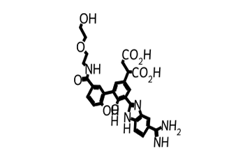 N=C(N)c1ccc2[nH]c(-c3cc(C(CC(=O)O)C(=O)O)cc(-c4cc(C(=O)NCCOCCO)ccc4O)c3O)nc2c1